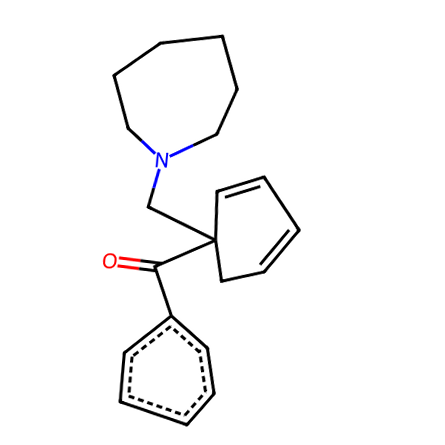 O=C(c1ccccc1)C1(CN2CCCCCC2)C=CC=CC1